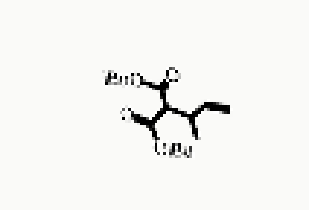 C=CC(C)C(C(=O)OCC(C)C)C(=O)OCC(C)C